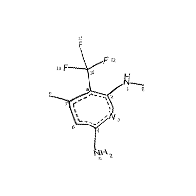 CNc1nc(N)cc(C)c1C(F)(F)F